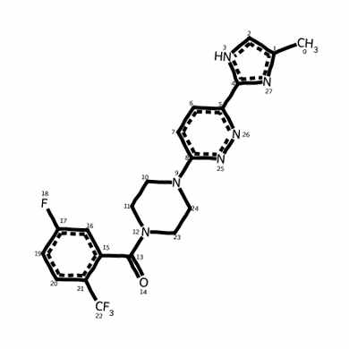 Cc1c[nH]c(-c2ccc(N3CCN(C(=O)c4cc(F)ccc4C(F)(F)F)CC3)nn2)n1